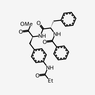 CCC(=O)Nc1ccc(C[C@H](NC(=O)[C@H](Cc2ccccc2)NC(=O)c2ccccc2)C(=O)OC)cc1